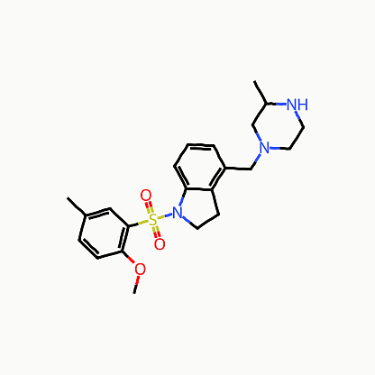 COc1ccc(C)cc1S(=O)(=O)N1CCc2c(CN3CCNC(C)C3)cccc21